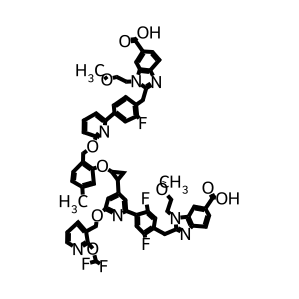 COCCn1c(Cc2ccc(-c3cccc(OCc4ccc(C)cc4OC4CC4c4cc(OCc5cccnc5OC(F)F)nc(-c5cc(F)c(Cc6nc7ccc(C(=O)O)cc7n6CCOC)cc5F)c4)n3)cc2F)nc2ccc(C(=O)O)cc21